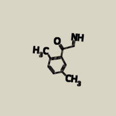 Cc1ccc(C)c(C(=O)C=N)c1